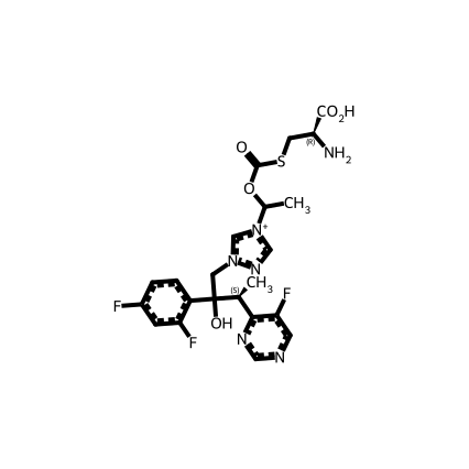 CC(OC(=O)SC[C@H](N)C(=O)O)[n+]1cnn(CC(O)(c2ccc(F)cc2F)[C@@H](C)c2ncncc2F)c1